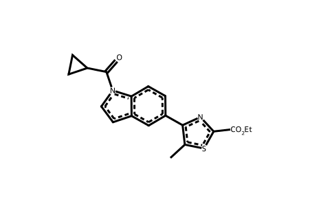 CCOC(=O)c1nc(-c2ccc3c(ccn3C(=O)C3CC3)c2)c(C)s1